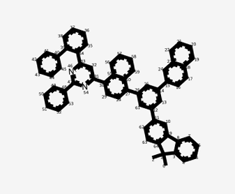 CC1(C)c2ccccc2-c2cc(-c3cc(-c4ccc5ccccc5c4)cc(-c4ccc(-c5cc(-c6ccccc6-c6ccccc6)nc(-c6ccccc6)n5)c5ccccc45)c3)ccc21